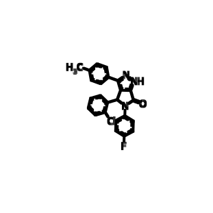 Cc1ccc(-c2n[nH]c3c2C(c2ccccc2Cl)N(c2ccc(F)cc2)C3=O)cc1